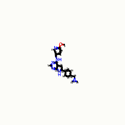 COc1ccc(CNc2ncnc3[nH]c(-c4ccc(CN(C)C)cc4)cc23)cn1